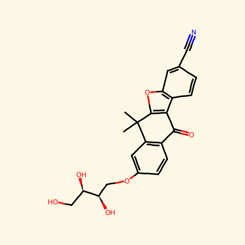 CC1(C)c2cc(OC[C@@H](O)[C@H](O)CO)ccc2C(=O)c2c1oc1cc(C#N)ccc21